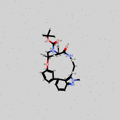 Cn1nc2cccc3c2c1CCCNC(=O)[C@@H]1C[C@@H](CN1C(=O)OC(C)(C)C)Oc1cccc-3c1